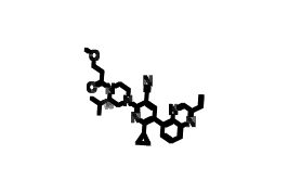 C=Cc1cnc2c(-c3cc(C#N)c(N4CCN(C(=O)CCOC)[C@H](C(C)C)C4)nc3C3CC3)cccc2n1